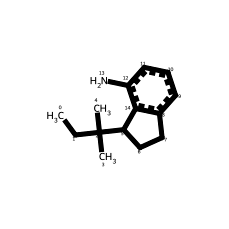 CCC(C)(C)C1CCc2cccc(N)c21